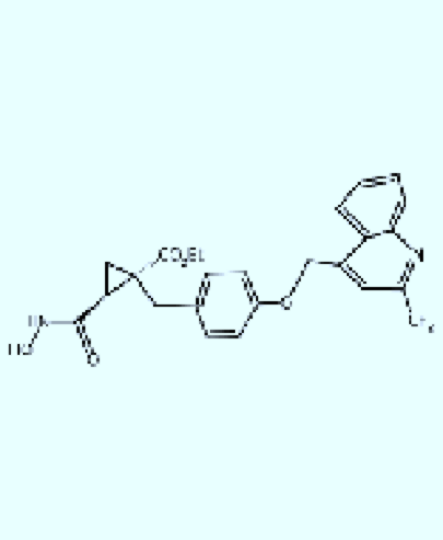 CCOC(=O)[C@@]1(Cc2ccc(OCc3cc(C(F)(F)F)nc4ccccc34)cc2)C[C@@H]1C(=O)NO